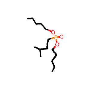 CCCCCOP(=O)(CCC(C)C)OCCCCC